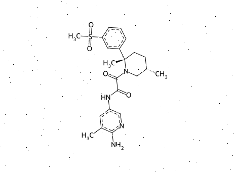 Cc1cc(NC(=O)C(=O)N2C[C@@H](C)CC[C@@]2(C)c2cccc(S(C)(=O)=O)c2)cnc1N